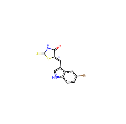 O=C1NC(=S)S/C1=C\c1c[nH]c2ccc(Br)cc12